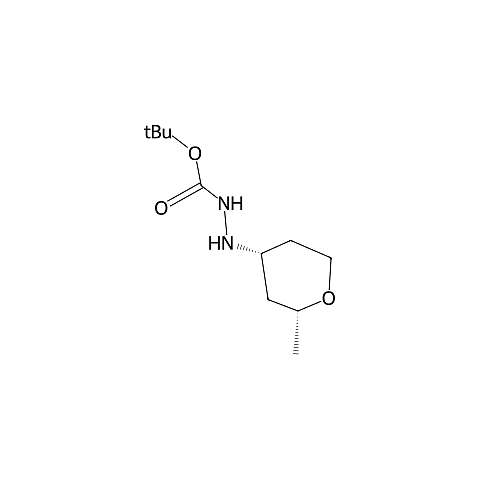 C[C@@H]1C[C@H](NNC(=O)OC(C)(C)C)CCO1